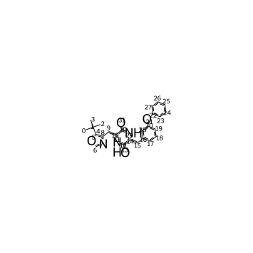 CC(C)(C)c1ocnc1/C=c1\[nH]c(=O)/c(=C/c2cccc(Oc3ccccc3)c2)[nH]c1=O